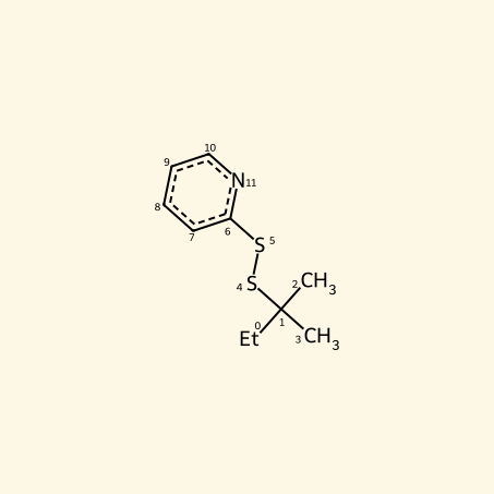 CCC(C)(C)SSc1ccccn1